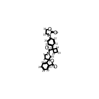 O=C1OC2(CCN(C(=O)C3(c4ccc(N5CCOC5=O)cc4)CCC3)C2)c2ccccc21